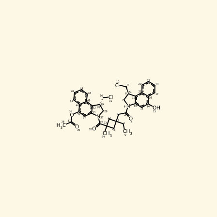 CCC1(CC(=O)N2C[C@@H](CCl)c3c2cc(O)c2ccccc32)CC(C)(C(=O)N2C[C@@H](CCl)c3c2cc(OC(C)=O)c2ccccc32)C1